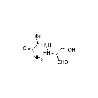 CC[C@H](C)[C@H](NN[C@H](C=O)CO)C(N)=O